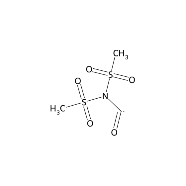 CS(=O)(=O)N([C]=O)S(C)(=O)=O